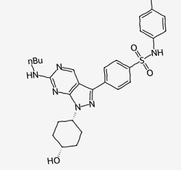 CCCCNc1ncc2c(-c3ccc(S(=O)(=O)Nc4ccc(F)cc4)cc3)nn([C@H]3CC[C@@H](O)CC3)c2n1